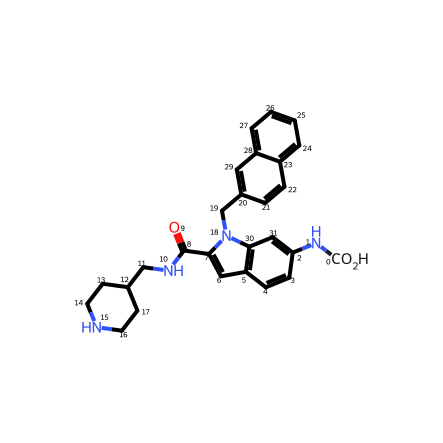 O=C(O)Nc1ccc2cc(C(=O)NCC3CCNCC3)n(Cc3ccc4ccccc4c3)c2c1